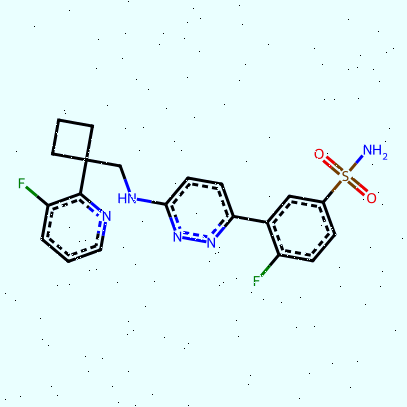 NS(=O)(=O)c1ccc(F)c(-c2ccc(NCC3(c4ncccc4F)CCC3)nn2)c1